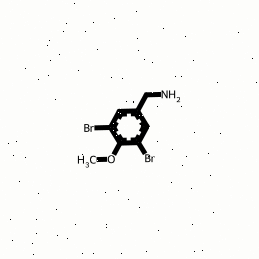 COc1c(Br)cc(CN)cc1Br